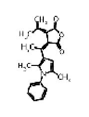 CC(C)=C1C(=O)OC(=O)C1=C(C)c1cc(C)n(-c2ccccc2)c1C